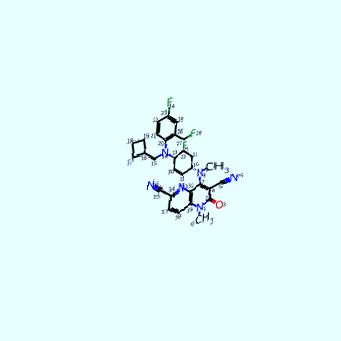 Cn1c(=O)c(C#N)c(N(C)[C@H]2CC[C@H](N(CC3CCC3)c3ccc(F)cc3C(F)F)CC2)c2nc(C#N)ccc21